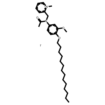 CCCCCCCCCCCCCCOc1ccc(N(Cc2cccc[n+]2C)C(C)=O)cc1OC.[I-]